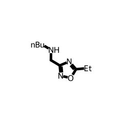 CCCCNCc1noc(CC)n1